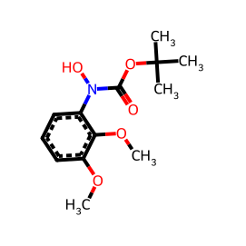 COc1cccc(N(O)C(=O)OC(C)(C)C)c1OC